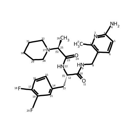 Cc1nc(N)ccc1CNC(=O)[C@H](Cc1ccc(F)c(F)c1)NC(=O)[C@H](C)N1CCCCC1